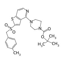 Cc1ccc(CS(=O)(=O)c2cc3c(N4CCN(C(=O)OC(C)(C)C)CC4)nccc3s2)cc1